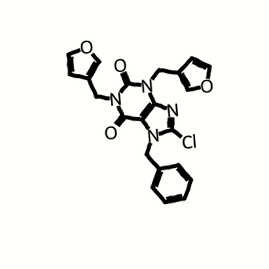 O=c1c2c(nc(Cl)n2Cc2ccccc2)n(Cc2ccoc2)c(=O)n1Cc1ccoc1